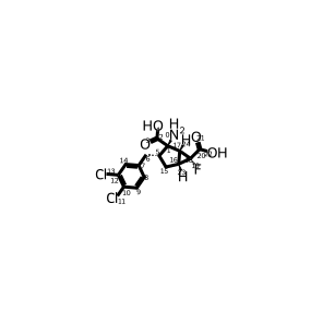 N[C@]1(C(=O)O)[C@@H](Cc2ccc(Cl)c(Cl)c2)C[C@@H]2[C@H]1[C@@]2(F)C(=O)O